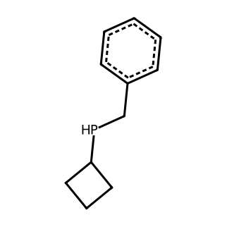 c1ccc(CPC2CCC2)cc1